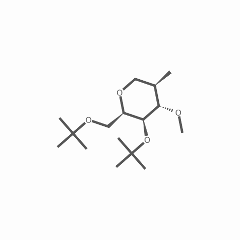 CO[C@@H]1[C@@H](OC(C)(C)C)[C@@H](COC(C)(C)C)OC[C@H]1C